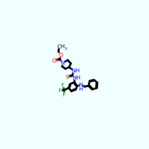 CCOC(=O)N1CCC(NC(=S)Nc2cc(C(F)(F)F)ccc2NCc2ccccc2)CC1